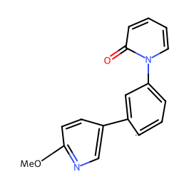 COc1ccc(-c2[c]ccc(-n3ccccc3=O)c2)cn1